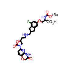 CC(C)(C)OC(=O)NC(COc1cc(F)c2c(c1)CC(CNCCC1CN(c3ccc4c(n3)NC(=O)CO4)C(=O)O1)C2)C(=O)O